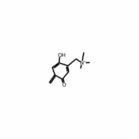 C=C1C=C(O)C(C[N+](C)(C)C)=CC1=O